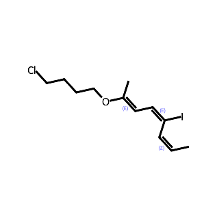 C\C=C/C(I)=C\C=C(/C)OCCCCCl